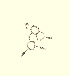 CCc1ccc(CC(=O)O)c(F)c1Oc1cc(C#N)cc(C#N)c1